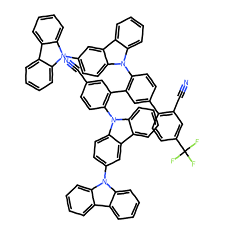 N#Cc1ccc(-n2c3ccccc3c3cc(-n4c5ccccc5c5ccccc54)ccc32)c(-c2cc(-c3ccc(C(F)(F)F)cc3C#N)ccc2-n2c3ccccc3c3cc(-n4c5ccccc5c5ccccc54)ccc32)c1